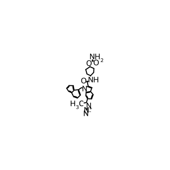 CC(N=[N+]=[N-])c1ccc2cc(C(=O)N[C@H]3CC[C@H](OC(N)=O)CC3)n(Cc3cccc4ccccc34)c2c1